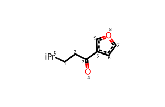 CC(C)CCC(=O)c1ccoc1